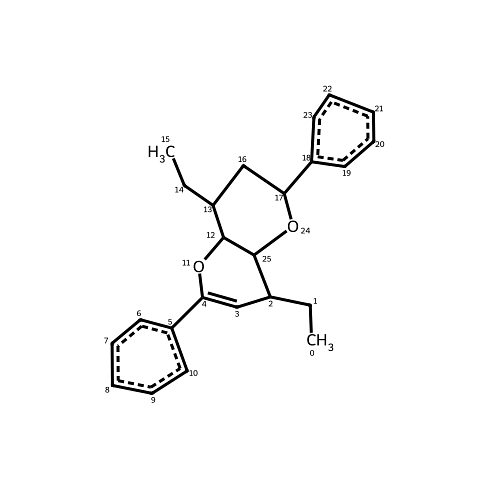 CCC1C=C(c2ccccc2)OC2C(CC)CC(c3ccccc3)OC12